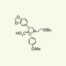 COc1ccc([C@@H]2[C@@H](C(=O)O)C(c3ccc4c(c3)OCO4)CN2CCOCC(C)C)cc1